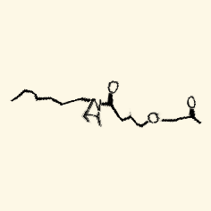 CCCCCCNC(=O)CCCOCC(C)=O